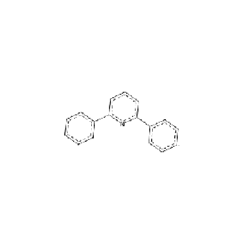 [c]1ccc(-c2cccc(-c3ccccc3)n2)cc1